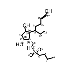 CCCCS(=O)(=O)NC[C@H]1C(C(CC)CCC=CO)C(O)C[C@H]1O